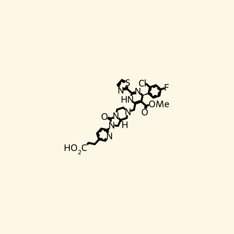 COC(=O)C1=C(CN2CCN3C(=O)N(c4ccc(CCC(=O)O)cn4)C[C@@H]3C2)NC(c2nccs2)=N[C@H]1c1ccc(F)cc1Cl